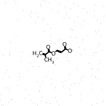 C=C(C)C(=O)OC=CC([O])=O